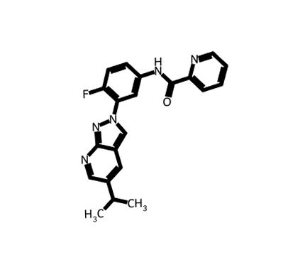 CC(C)c1cnc2nn(-c3cc(NC(=O)c4ccccn4)ccc3F)cc2c1